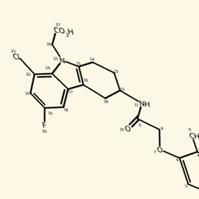 Cc1ccccc1OCC(=O)NC1CCc2c(c3cc(F)cc(Cl)c3n2CC(=O)O)C1